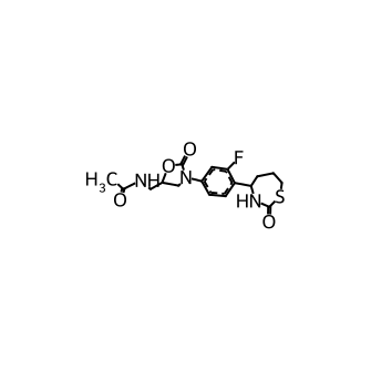 CC(=O)NCC1CN(c2ccc(C3CCCSC(=O)N3)c(F)c2)C(=O)O1